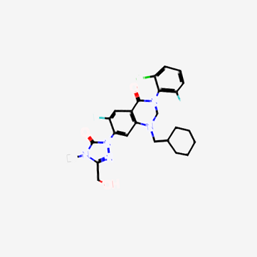 CCn1c(CO)nn(-c2cc3c(cc2F)C(=O)N(c2c(F)cccc2Cl)CN3CC2CCCCC2)c1=O